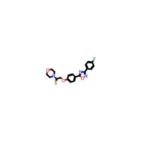 Fc1ccc(-c2noc(-c3ccc(OCC(=S)N4CCOCC4)cc3)n2)cc1